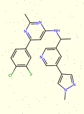 Cc1nc(NC(C)c2cncc(-c3cnn(C)c3)c2)cc(-c2ccc(Cl)c(F)c2)n1